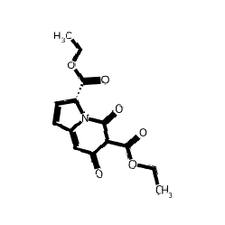 CCOC(=O)C1C(=O)C=C2C=C[C@H](C(=O)OCC)N2C1=O